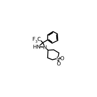 O=S1(=O)CCC(N2NC2(c2ccccc2)C(F)(F)F)CC1